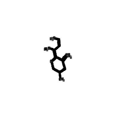 C=C1CC(C)CO/C1=C(C)/C=C\C